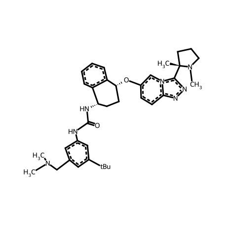 CN(C)Cc1cc(NC(=O)N[C@H]2CC[C@@H](Oc3ccc4nnc([C@]5(C)CCCN5C)n4c3)c3ccccc32)cc(C(C)(C)C)c1